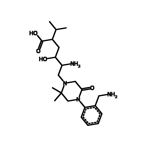 CC(C)C(CC(O)C(N)CN1CC(=O)N(c2ccccc2CN)CC1(C)C)C(=O)O